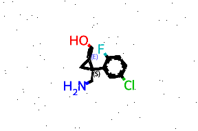 NC[C@@]1(c2cc(Cl)ccc2F)C/C1=C\O